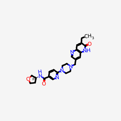 CCc1cc2ncc(CN3CCN(c4ccc(C(=O)N[C@@H]5CCOC5)cn4)CC3)cc2[nH]c1=O